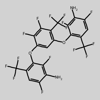 Nc1c(F)cc(C(F)(F)F)c(Oc2cc(Oc3c(C(F)(F)F)cc(F)c(N)c3F)c(C(F)(F)F)c(F)c2F)c1F